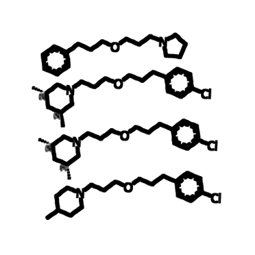 CC1CCN(CCCOCCCc2ccc(Cl)cc2)CC1.C[C@@H]1C[C@H](C)CN(CCCOCCCc2ccc(Cl)cc2)C1.C[C@H]1C[C@H](C)CN(CCCOCCCc2ccc(Cl)cc2)C1.c1ccc(CCCOCCCN2CCCC2)cc1